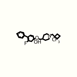 OC1(OCC2CCN(CC3(C(F)(F)F)CCC3)CC2)C=CC(c2ccccc2)=C(F)C1